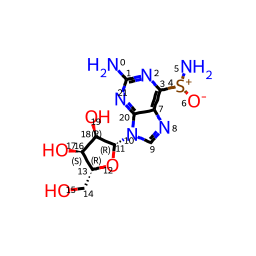 Nc1nc([S+](N)[O-])c2ncn([C@@H]3O[C@H](CO)[C@@H](O)[C@H]3O)c2n1